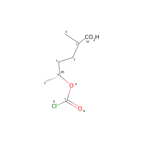 CC(CC[C@@H](C)OC(=O)Cl)C(=O)O